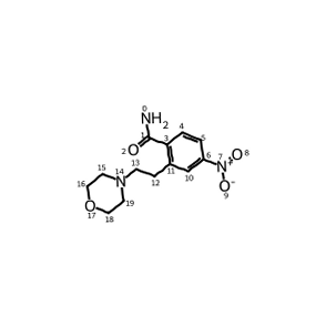 NC(=O)c1ccc([N+](=O)[O-])cc1CCN1CCOCC1